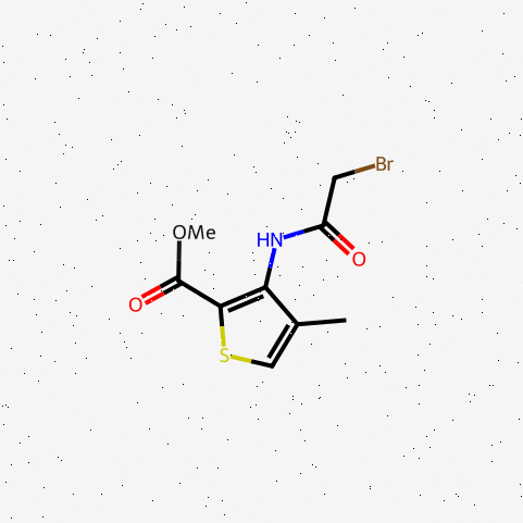 COC(=O)c1scc(C)c1NC(=O)CBr